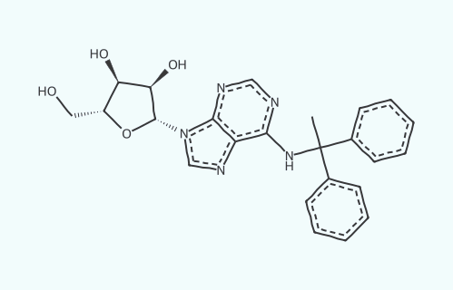 CC(Nc1ncnc2c1ncn2[C@@H]1O[C@H](CO)[C@@H](O)[C@H]1O)(c1ccccc1)c1ccccc1